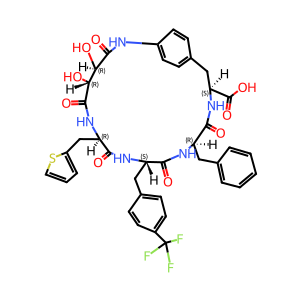 O=C(O)[C@@H]1Cc2ccc(cc2)NC(=O)[C@H](O)[C@@H](O)C(=O)N[C@H](Cc2cccs2)C(=O)N[C@@H](Cc2ccc(C(F)(F)F)cc2)C(=O)N[C@H](Cc2ccccc2)C(=O)N1